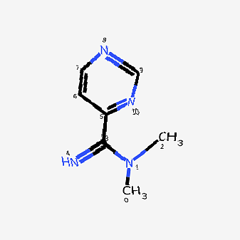 CN(C)C(=N)c1ccncn1